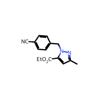 CCOC(=O)c1cc(C)nn1Cc1ccc(C#N)cc1